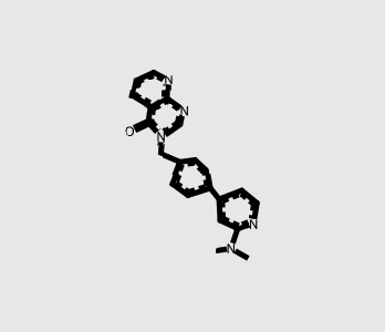 CN(C)c1cc(-c2ccc(Cn3cnc4ncccc4c3=O)cc2)ccn1